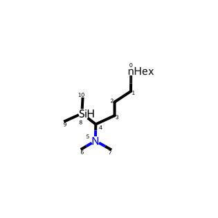 CCCCCCCCCC(N(C)C)[SiH](C)C